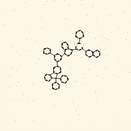 c1ccc(-c2cc(-c3ccc4c(c3)-c3ccccc3C4(c3ccccc3)c3ccccc3)cc(-c3ccc(-c4cc(-c5ccc6ccccc6c5)nc(-c5ccccc5)n4)c4ccccc34)c2)cc1